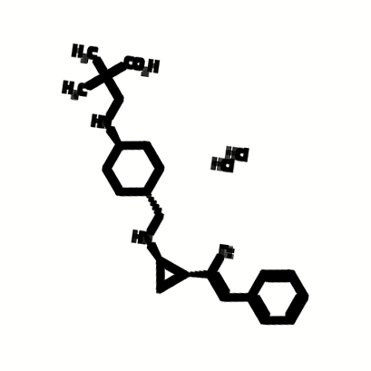 CC/C(=C\c1ccccc1)[C@@H]1C[C@H]1NC[C@H]1CC[C@H](NCC(C)(C)C(=O)O)CC1.Cl.Cl